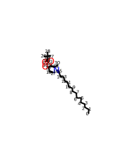 CCCCCCCCCCCCCCCCn1ccc(=O)c(OC(=O)C(C)(C)C)c1C